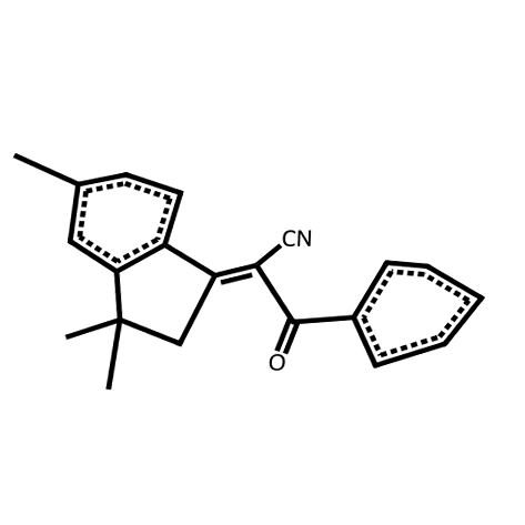 Cc1ccc2c(c1)C(C)(C)C/C2=C(/C#N)C(=O)c1ccccc1